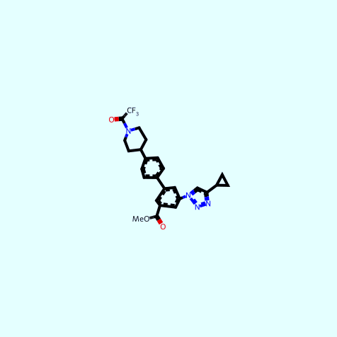 COC(=O)c1cc(-c2ccc(C3CCN(C(=O)C(F)(F)F)CC3)cc2)cc(-n2cc(C3CC3)nn2)c1